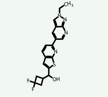 CCn1cc2cc(-c3ccc4cc(C(O)C5CC(F)(F)C5)sc4n3)cnc2n1